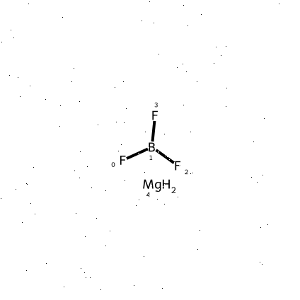 FB(F)F.[MgH2]